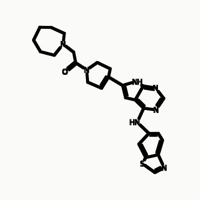 O=C(CN1CCCCCC1)N1CC=C(c2cc3c(Nc4ccc5ncsc5c4)ncnc3[nH]2)CC1